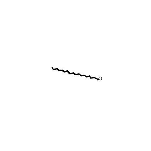 CC/C=C/C=C/C=C/C=C/CCCCCCC[C]=O